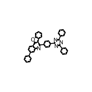 c1ccc(-c2ccc3c(c2)nc(-c2ccc(-c4nc(-c5ccccc5)nc(-c5ccccc5)n4)cc2)c2c4ccccc4oc32)cc1